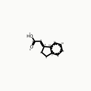 O=C(O)C=C1CCc2ccccc21